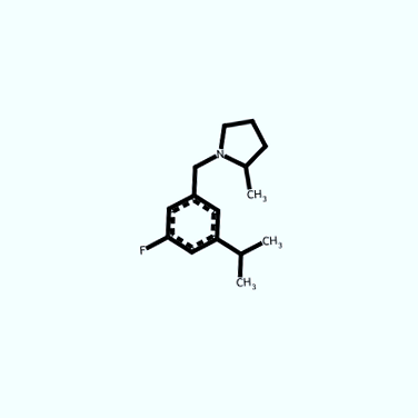 CC(C)c1cc(F)cc(CN2CCCC2C)c1